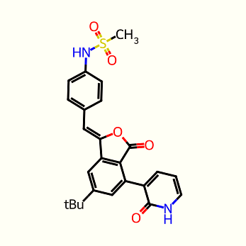 CC(C)(C)c1cc2c(c(-c3ccc[nH]c3=O)c1)C(=O)O/C2=C\c1ccc(NS(C)(=O)=O)cc1